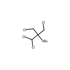 CCCCC(CCl)(CCl)[C](Cl)Cl